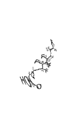 O=C(O)COCC(F)C(F)C(F)C(F)CCCF